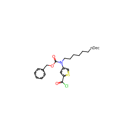 CCCCCCCCCCCCCCCCN(C(=O)OCc1ccccc1)c1csc(C(=O)Cl)c1